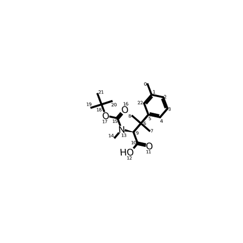 Cc1cccc(C(C)(C)[C@@H](C(=O)O)N(C)C(=O)OC(C)(C)C)c1